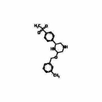 Cc1cccc(COC2CNCC(c3ccc(S(C)(=O)=O)cc3)N2)c1